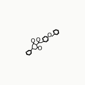 O=C(Cc1ccc(OCc2ccccc2)cc1)C1C(=O)CC(c2ccccc2)CC1=O